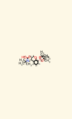 CC(C)(C)N(C[C@@H]1CCOc2c(B3OC(C)(C)C(C)(C)O3)cccc21)C(=O)O